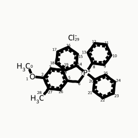 COc1ccc(C[P+](c2ccccc2)(c2ccccc2)c2ccccc2)cc1C.[Cl-]